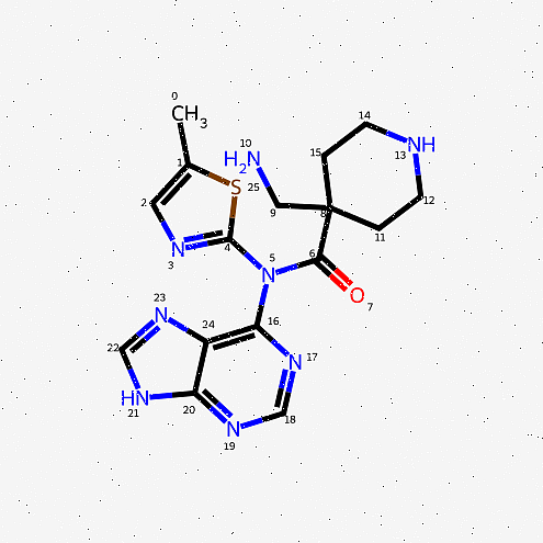 Cc1cnc(N(C(=O)C2(CN)CCNCC2)c2ncnc3[nH]cnc23)s1